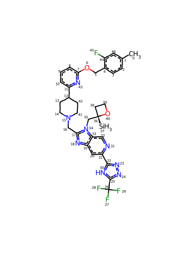 Cc1ccc(COc2cccc(C3CCN(Cc4nc5cc(-c6nnc(C(F)(F)F)[nH]6)ncc5n4C[C@]4([SiH3])CCO4)CC3)n2)c(F)c1